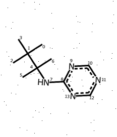 CC(C)(C)C(C)(C)Nc1ncncn1